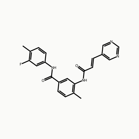 Cc1ccc(NC(=O)c2ccc(C)c(NC(=O)C=Cc3cncnc3)c2)cc1F